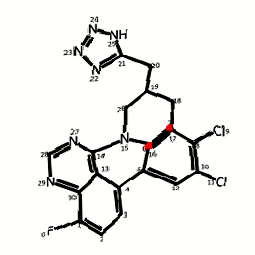 Fc1ccc(-c2ccc(Cl)c(Cl)c2)c2c(N3CCCC(Cc4nnn[nH]4)C3)ncnc12